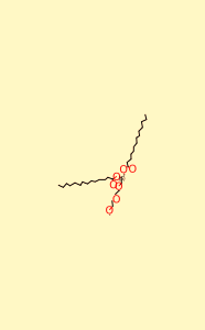 CCCCCCCCCCCCCC(=O)OC[C@H](COCCOCCOC)OC(=O)CCCCCCCCCCCCC